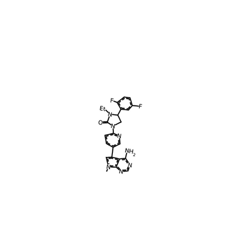 CCN1C(=O)N(c2ccc(-c3cn(C)c4ncnc(N)c34)cn2)CC1c1cc(F)ccc1F